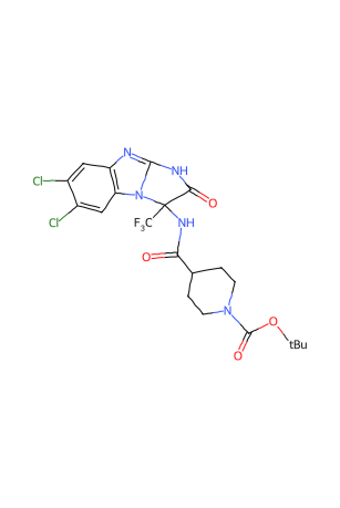 CC(C)(C)OC(=O)N1CCC(C(=O)NC2(C(F)(F)F)C(=O)Nc3nc4cc(Cl)c(Cl)cc4n32)CC1